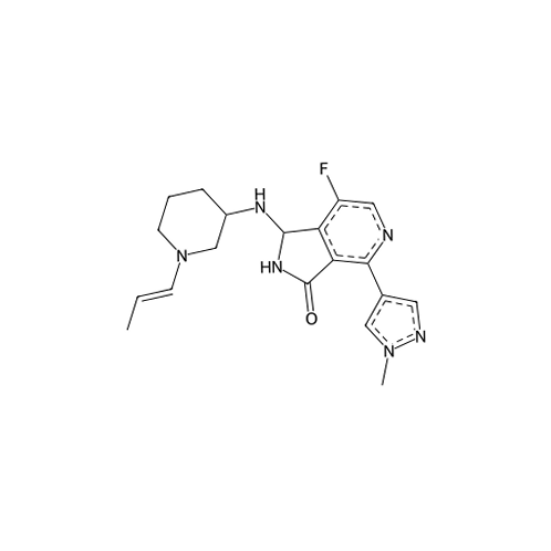 CC=CN1CCCC(NC2NC(=O)c3c(-c4cnn(C)c4)ncc(F)c32)C1